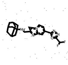 FC(F)c1nnc(-c2ccn3cc(CNC45CC6CC(CC(C6)C4)C5)nc3c2)o1